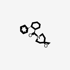 O=C([C@@H]1CCCC[C@H]1c1ccccc1)N1CCC2(CC1)CO2